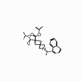 CC(C)OC(=O)C1(C(=O)OC(C)C)CC2(CN([C@H](C)c3cccc4ccccc34)C2)C1